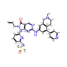 C=CCn1c(=O)c2cnc(Nc3cc4c(c(-c5ccncc5)c3)CCN(C)C4)nc2n1-c1cccc(N=S(C)(C)=O)n1